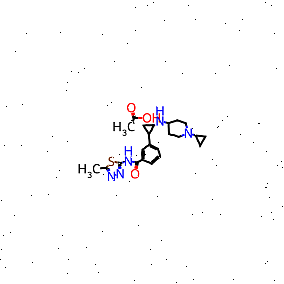 CC(=O)O.Cc1nnc(NC(=O)c2cccc(C3CC3NC3CCN(C4CC4)CC3)c2)s1